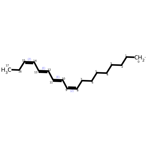 [CH2]CCCCCCC\C=C/C=C/C=C/C=C\CC